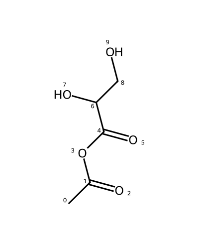 CC(=O)OC(=O)C(O)CO